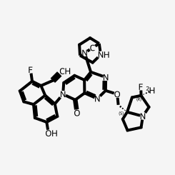 [2H][C@]1(F)CN2CCC[C@@]2(COc2nc(N3CC4CCC3CN4)c3ccn(-c4cc(O)cc5ccc(F)c(C#C)c45)c(=O)c3n2)C1